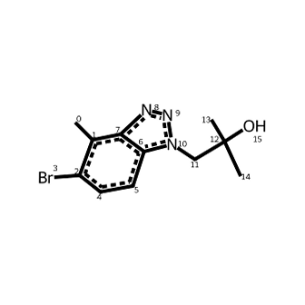 Cc1c(Br)ccc2c1nnn2CC(C)(C)O